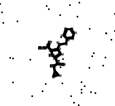 CNC(=O)c1[nH]c(C(=O)NC2CC2)cc1OCc1ccccc1